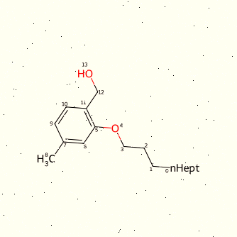 CCCCCCCCCCOc1cc(C)ccc1CO